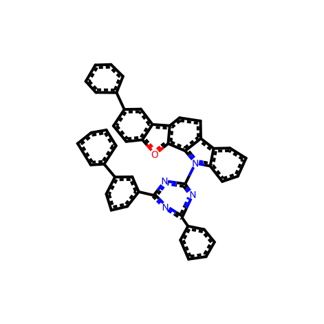 c1ccc(-c2cccc(-c3nc(-c4ccccc4)nc(-n4c5ccccc5c5ccc6c7cc(-c8ccccc8)ccc7oc6c54)n3)c2)cc1